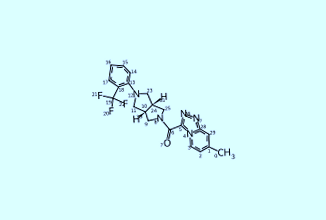 Cc1ccn2c(C(=O)N3C[C@@H]4CN(c5ccccc5C(F)(F)F)C[C@@H]4C3)nnc2c1